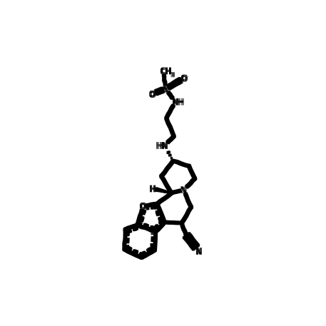 CS(=O)(=O)NCCN[C@@H]1CCN2CC(C#N)c3c(oc4ccccc34)[C@@H]2C1